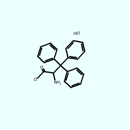 Cl.NC(C(=O)Cl)C(c1ccccc1)(c1ccccc1)c1ccccc1